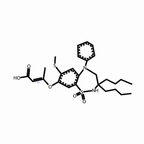 CCCCC1(CCCC)CN(c2ccccc2)c2cc(SC)c(O/C(C)=C/C(=O)O)cc2S(=O)(=O)N1